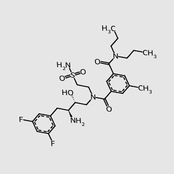 CCCN(CCC)C(=O)c1cc(C)cc(C(=O)N(CCS(N)(=O)=O)C[C@@H](O)[C@@H](N)Cc2cc(F)cc(F)c2)c1